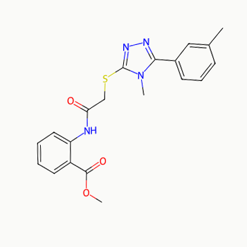 COC(=O)c1ccccc1NC(=O)CSc1nnc(-c2cccc(C)c2)n1C